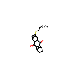 CSCCSC1CC2CC1C1C(=O)C3C4CCC(C4)C3C(=O)C21